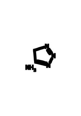 C1=NN=NC1.N